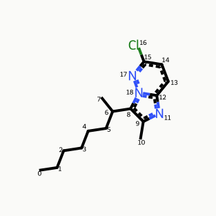 CCCCCCC(C)c1c(C)nc2ccc(Cl)nn12